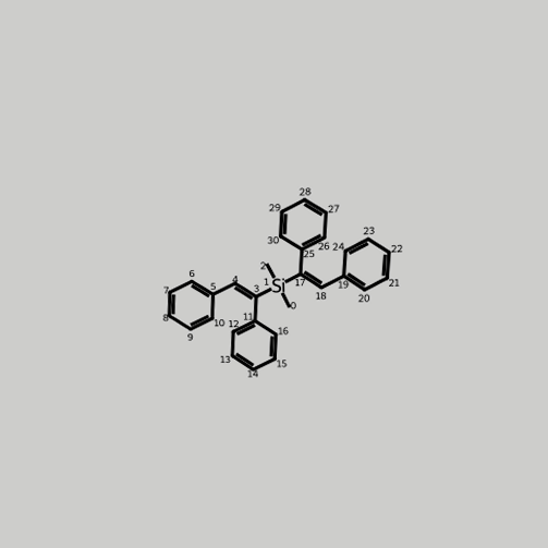 C[Si](C)(/C(=C/c1ccccc1)c1ccccc1)/C(=C/c1ccccc1)c1ccccc1